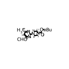 CCCCOC(=O)N1CCN(c2nc(C)cc(C=O)n2)CC1